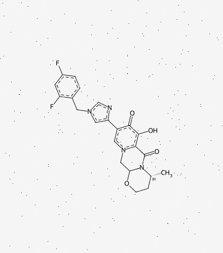 C[C@@H]1CCOC2Cn3cc(-c4cn(Cc5ccc(F)cc5F)cn4)c(=O)c(O)c3C(=O)N21